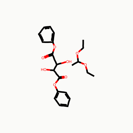 CCOC(C)OCC.O=C(Oc1ccccc1)C(O)C(O)C(=O)Oc1ccccc1